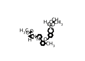 COC(=O)[C@]12C[C@H]1CN(c1cccc(-c3cccc(C)c3OCc3ccc4c(c3)CCN(C(=O)OC(C)(C)C)CC4)n1)C2